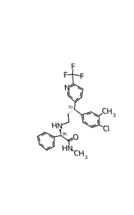 CNC(=O)[C@H](NCC[C@H](c1ccc(C(F)(F)F)nc1)c1ccc(Cl)c(C)c1)c1ccccc1